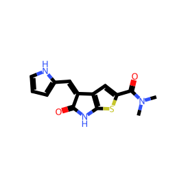 CN(C)C(=O)c1cc2c(s1)NC(=O)/C2=C\c1ccc[nH]1